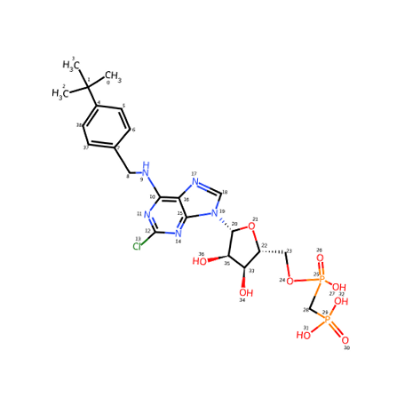 CC(C)(C)c1ccc(CNc2nc(Cl)nc3c2ncn3[C@@H]2O[C@H](COP(=O)(O)CP(=O)(O)O)[C@@H](O)[C@H]2O)cc1